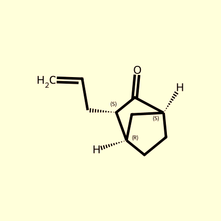 C=CC[C@@H]1C(=O)[C@H]2CC[C@@H]1C2